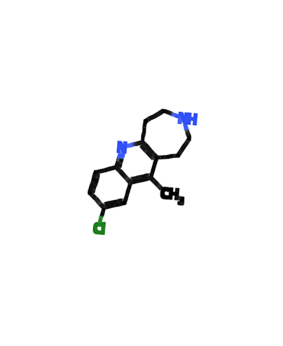 Cc1c2c(nc3ccc(Cl)cc13)CCNCC2